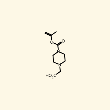 C=C(C)OC(=O)N1CCN(CC(=O)O)CC1